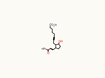 CCCC(=O)C=CC1CCC(O)C1CC#CCCCCC(=O)O